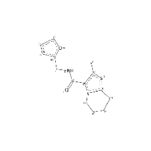 Cc1sc2c(c1C(=O)NCc1ccco1)CCCC2